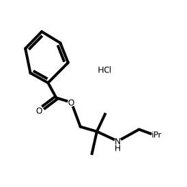 CC(C)CNC(C)(C)COC(=O)c1ccccc1.Cl